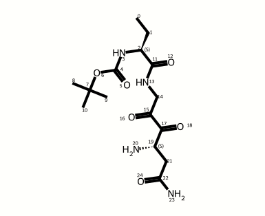 CC[C@H](NC(=O)OC(C)(C)C)C(=O)NCC(=O)C(=O)[C@@H](N)CC(N)=O